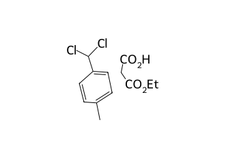 CCOC(=O)CC(=O)O.Cc1ccc(C(Cl)Cl)cc1